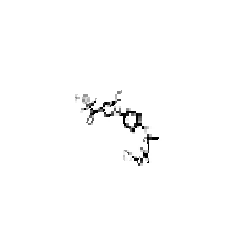 CC(C)OC(C)(C)CC(C)(C)Oc1ccc(N2CC(C(=O)C(C)(C)O)CC2=O)cc1